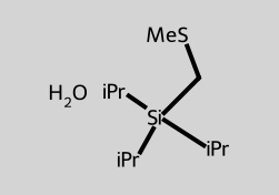 CSC[Si](C(C)C)(C(C)C)C(C)C.O